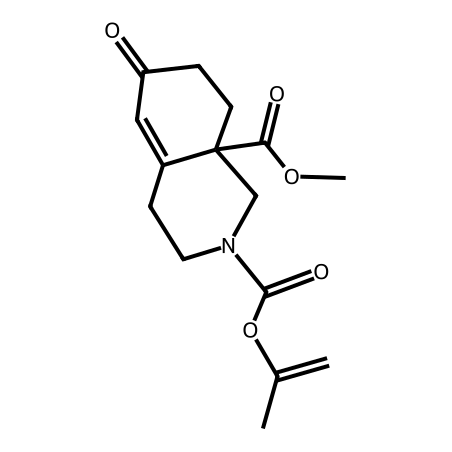 C=C(C)OC(=O)N1CCC2=CC(=O)CCC2(C(=O)OC)C1